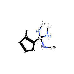 CCC[NH][Zr]([NH]CCC)([NH]CCC)[C]1=C(C)C=CC1